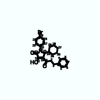 O=C(CCc1ccccc1)C1=C(O)C(=O)N(c2ccc(Br)cc2)C1C1CCCCC1